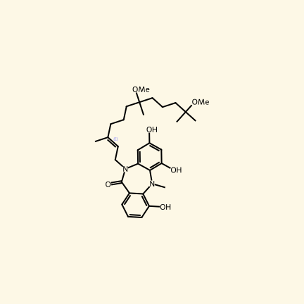 COC(C)(C)CCCC(C)(CCC/C(C)=C/CN1C(=O)c2cccc(O)c2N(C)c2c(O)cc(O)cc21)OC